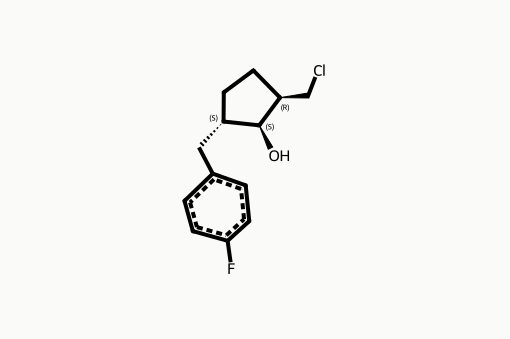 O[C@@H]1[C@H](CCl)CC[C@H]1Cc1ccc(F)cc1